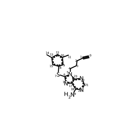 C#CCCCn1c(Sc2cc(C)cc(C)c2)nc2c(N)ncnc21